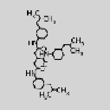 CC(C)CC1CCCC(NC(=O)CC(CC(=O)NC2CCCC(CC(C)C)C2)C(=O)NC2CCCC(CC(C)C)C2)C1